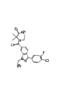 CC(C)Cn1nc(-c2ccc(Cl)c(F)c2)c2ccc(C(=O)N3CCNC(=O)C3(C)C)cc21